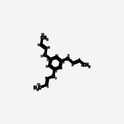 CC=COc1cc(OC=CC)cc(OC=CC)c1